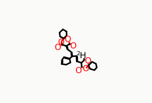 [2H]C1OC2(CCCCC2)OC(=O)C1/C=C/C(=C/C=C1C(=O)OC2(CCCCC2)OC1=O)C1=CC=CCC1